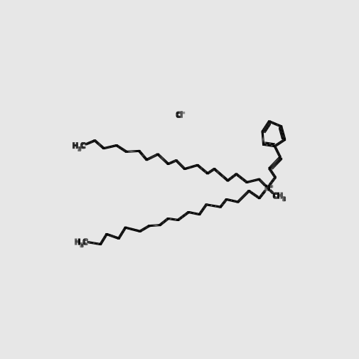 CCCCCCCCCCCCCCCCCC[N+](C)(CC=Cc1ccccc1)CCCCCCCCCCCCCCCCCC.[Cl-]